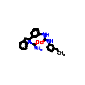 CCc1cccc(NC(=O)Nc2cccc(-c3cc4ccccc4n3C(N)=O)c2)c1